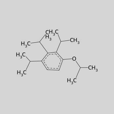 CC(C)Oc1ccc(C(C)C)c(C(C)C)c1C(C)C